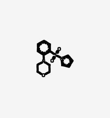 O=S(=O)(c1ccccc1N1CCOCC1)n1cccc1